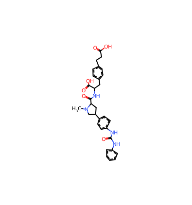 CN1CC(c2ccc(NC(=O)Nc3ccccc3)cc2)CC1C(=O)NC(Cc1ccc(CCC(=O)O)cc1)C(=O)O